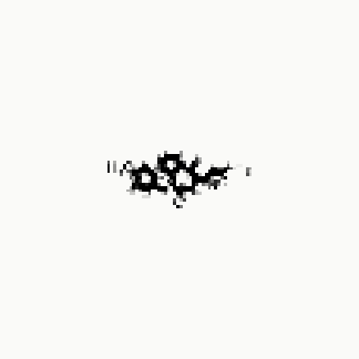 Cc1cc(C2=C(I)c3ccccc3N(Cc3ccc(C)c(F)c3)C(=O)C2)no1